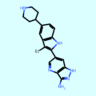 CCc1c(-c2cnc3c(N)n[nH]c3c2)[nH]c2ccc(C3CCNCC3)cc12